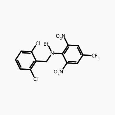 CCN(Cc1c(Cl)cccc1Cl)c1c([N+](=O)[O-])cc(C(F)(F)F)cc1[N+](=O)[O-]